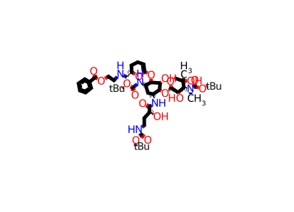 CN(C(=O)OC(C)(C)C)[C@@H]1C(O)[C@@H](OC2C(O)C(OC3=CCC[C@@H](CNCCOC(=O)c4ccccc4)O3)[C@@H](NC(=O)OC(C)(C)C)C[C@H]2NC(=O)[C@@H](O)CCNC(=O)OC(C)(C)C)OCC1(C)O